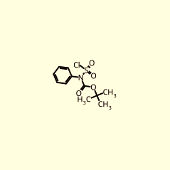 CC(C)(C)OC(=O)N(c1ccccc1)S(=O)(=O)Cl